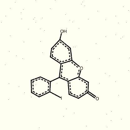 O=c1ccc2c(-c3ccccc3I)c3ccc(O)cc3oc-2c1